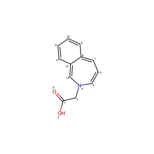 O=C(O)CN1C=CC=c2ccccc2=C1